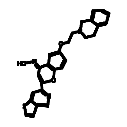 ON=c1cc(-c2cc3sccc3cn2)oc2ccc(OCCN3CCc4ccccc4C3)cc12